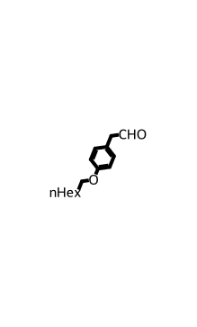 CCCCCCCOc1ccc(CC=O)cc1